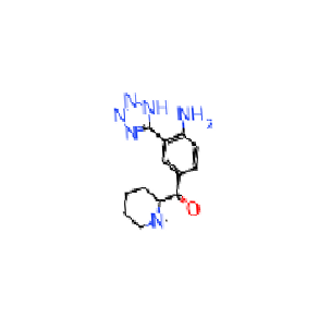 Nc1ccc(C(=O)C2CCCC[N]2)cc1-c1nnn[nH]1